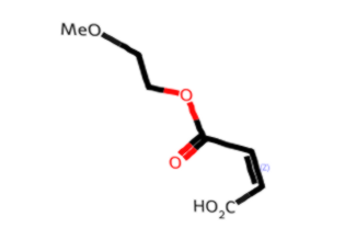 COCCOC(=O)/C=C\C(=O)O